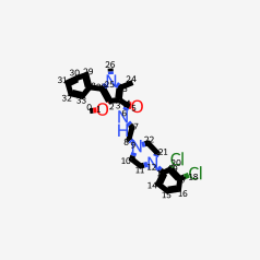 COc1c(C(=O)NCCN2CCN(c3cccc(Cl)c3Cl)CC2)c(C)n(C)c1-c1ccccc1